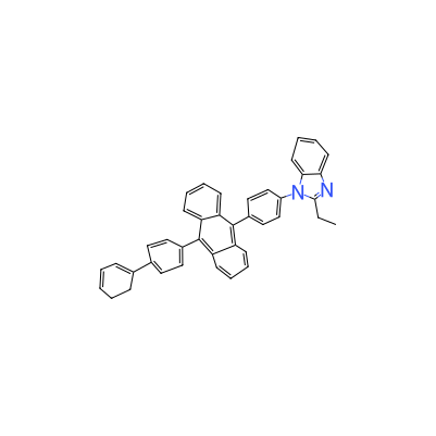 CCc1nc2ccccc2n1-c1ccc(-c2c3ccccc3c(-c3ccc(C4=CC=CCC4)cc3)c3ccccc23)cc1